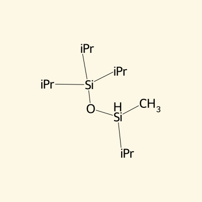 CC(C)[SiH](C)O[Si](C(C)C)(C(C)C)C(C)C